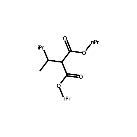 CCCOC(=O)C(C(=O)OCCC)C(C)C(C)C